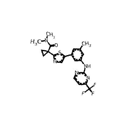 Cc1cc(Nc2nccc(C(F)(F)F)n2)cc(-c2cnc(C3(C(=O)N(C)C)CC3)s2)c1